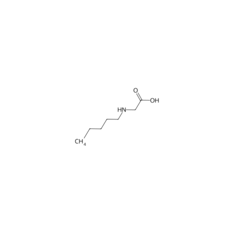 C.CCCCCNCC(=O)O